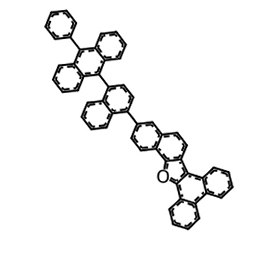 c1ccc(-c2c3ccccc3c(-c3ccc(-c4ccc5c(ccc6c5oc5c7ccccc7c7ccccc7c65)c4)c4ccccc34)c3ccccc23)cc1